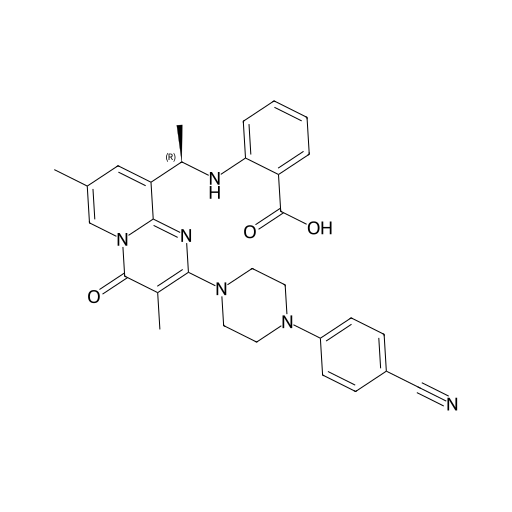 Cc1cc([C@@H](C)Nc2ccccc2C(=O)O)c2nc(N3CCN(c4ccc(C#N)cc4)CC3)c(C)c(=O)n2c1